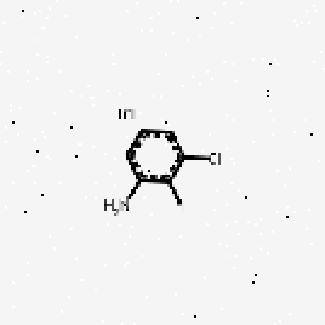 Cl.Nc1cccc(Cl)c1I